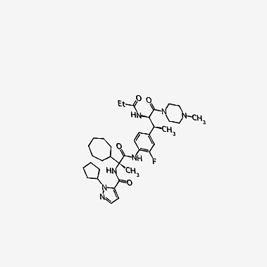 CCC(=O)N[C@@H](C(=O)N1CCN(C)CC1)[C@@H](C)c1ccc(NC(=O)[C@](C)(NC(=O)c2ccnn2C2CCCC2)C2CCCCCC2)c(F)c1